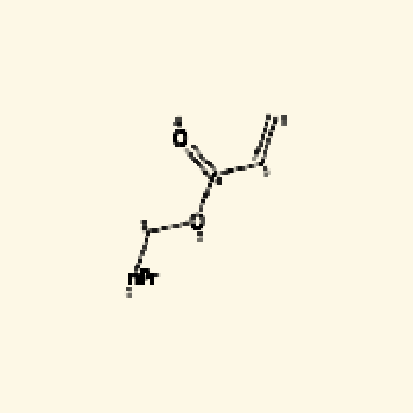 [CH2]CC[CH]OC(=O)C=C